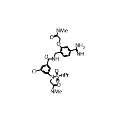 CCCS(=O)(=O)N(CC(=O)NC)c1cc(Cl)cc(C(=O)NCc2ccc(C(=N)N)cc2OCC(=O)NC)c1